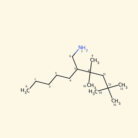 CCCCCC(CN)C(C)(C)CC(C)(C)C